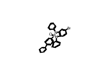 O=P1(c2ccc(-c3ccccc3)cc2)N(c2ccccc2)c2ccc(Br)cc2N1c1ccccc1